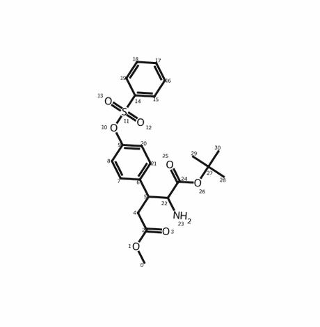 COC(=O)CC(c1ccc(OS(=O)(=O)c2ccccc2)cc1)C(N)C(=O)OC(C)(C)C